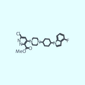 COC(=O)c1nnc(Cl)cc1N1CCN(C2CCC(n3ccc4c(F)cccc43)CC2)CC1